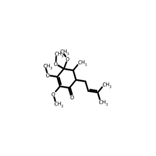 COC1=C(OC)C(OC)(OC)C(C)C(CC=C(C)C)C1=O